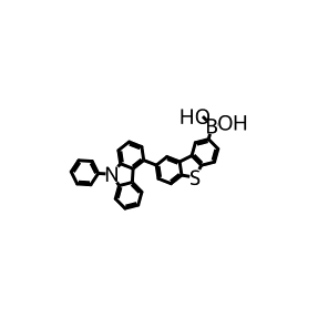 OB(O)c1ccc2sc3ccc(-c4cccc5c4c4ccccc4n5-c4ccccc4)cc3c2c1